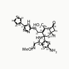 CON=CC(=O)NC1(c2csc(N)n2)S[C@H]2CC(=O)N2C(C(=O)O)=C1CSc1nnc(-c2ccsc2)[nH]1